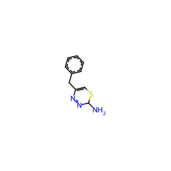 NC1N=NC(Cc2ccccc2)=CS1